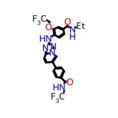 CCNC(=O)c1ccc(Nc2nc3ccc(-c4ccc(C(=O)NCC(F)(F)F)cc4)cn3n2)c(OCC(F)(F)F)c1